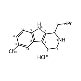 CC(C)CC1NCCc2c1[nH]c1ccc(Cl)cc21.Cl